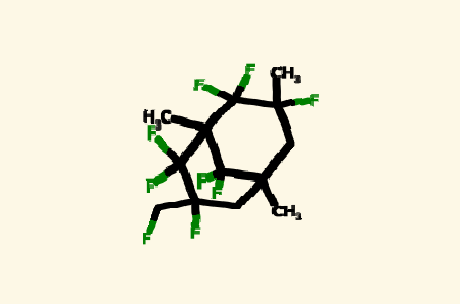 CC1(F)CC2(C)CC(F)(CF)C(F)(F)C(C)(C1(F)F)C2(F)F